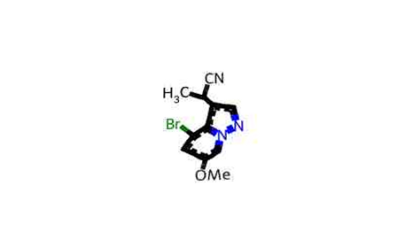 COc1cc(Br)c2c(C(C)C#N)cnn2c1